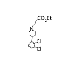 CCOC(=O)CCCN1CCC(c2cccc(Cl)c2Cl)CC1